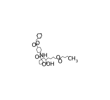 CCCCC(=O)OCCCCC(CC1(C(=O)NC2CCC(C(=O)OCc3ccccc3)CC2)CCCC1)C(=O)O